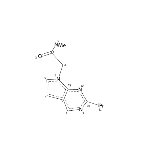 CNC(=O)Cn1ccc2cnc(C(C)C)nc21